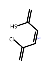 C=C(S)/C=C\C(=C)Cl